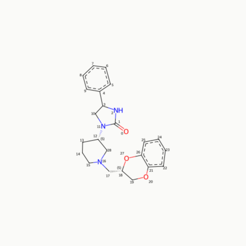 O=C1NC(c2ccccc2)CN1[C@H]1CCCN(C[C@H]2COc3ccccc3O2)C1